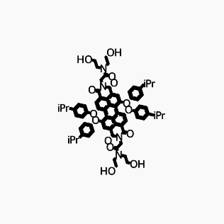 CC(C)c1ccc(Oc2cc3c4c(cc(Oc5ccc(C(C)C)cc5)c5c6c(Oc7ccc(C(C)C)cc7)cc7c8c(cc(Oc9ccc(C(C)C)cc9)c(c2c45)c86)C(=O)N(CC(=O)N(CCO)CCO)C7=O)C(=O)N(CC(=O)N(CCO)CCO)C3=O)cc1